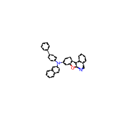 c1ccc(-c2ccc(N(c3ccc4ccccc4c3)c3ccc4c(c3)oc3ncc5ccccc5c34)cc2)cc1